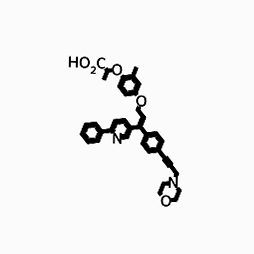 Cc1cc(OCC=C(c2ccc(C#CCN3CCOCC3)cc2)c2ccc(-c3ccccc3)nc2)ccc1OC(C)C(=O)O